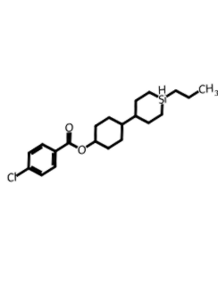 CCC[SiH]1CCC(C2CCC(OC(=O)c3ccc(Cl)cc3)CC2)CC1